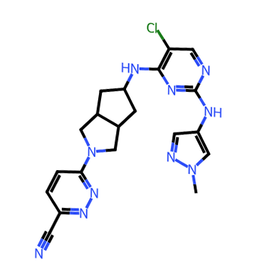 Cn1cc(Nc2ncc(Cl)c(NC3CC4CN(c5ccc(C#N)nn5)CC4C3)n2)cn1